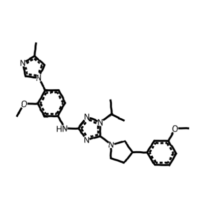 COc1cccc(C2CCN(c3nc(Nc4ccc(-n5cnc(C)c5)c(OC)c4)nn3C(C)C)C2)c1